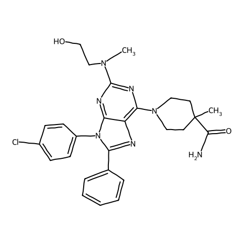 CN(CCO)c1nc(N2CCC(C)(C(N)=O)CC2)c2nc(-c3ccccc3)n(-c3ccc(Cl)cc3)c2n1